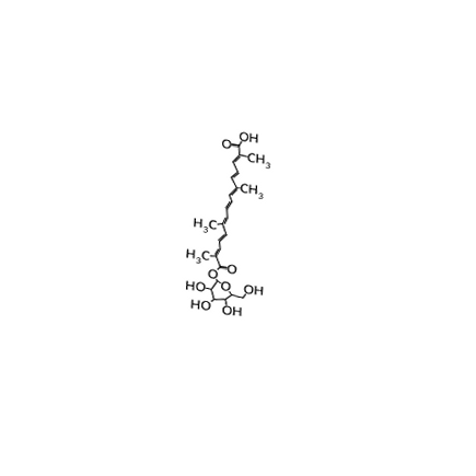 CC(/C=C/C=C(\C)C(=O)O)=C\C=C\C=C(C)\C=C\C=C(/C)C(=O)OC1OC(CO)C(O)C(O)C1O